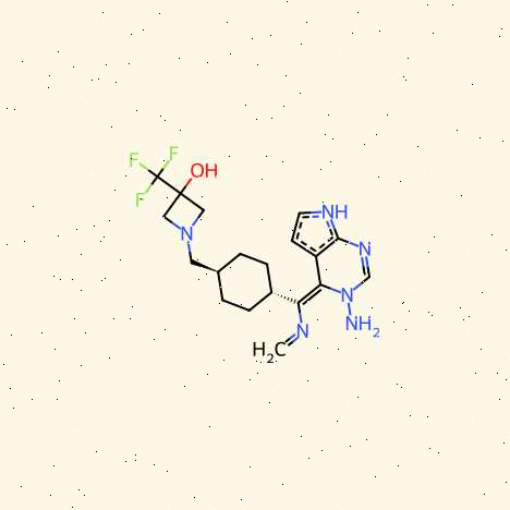 C=N/C(=C1/c2cc[nH]c2N=CN1N)[C@H]1CC[C@H](CN2CC(O)(C(F)(F)F)C2)CC1